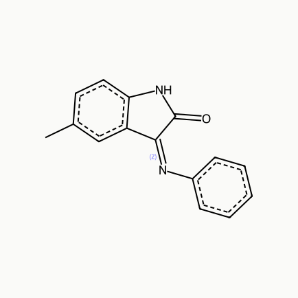 Cc1ccc2c(c1)/C(=N/c1ccccc1)C(=O)N2